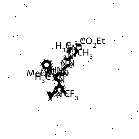 CCOC(=O)CCN1[C@H](C)CN(c2cnc(-c3nc4nc(-c5cc(C6CC6)nc(C(F)(F)F)c5)cc(N(C)CC5(COC)CCCCC5)c4[nH]3)cn2)C[C@@H]1C